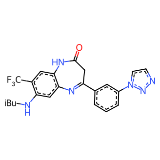 CCC(C)Nc1cc2c(cc1C(F)(F)F)NC(=O)CC(c1cccc(-n3ccnn3)c1)=N2